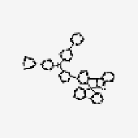 c1ccc(-c2ccc(N(c3ccc(-c4ccccc4)cc3)c3cccc(-c4ccc5c(c4)C4(c6ccccc6-c6ccccc64)c4oc6ccccc6c4-5)c3)cc2)cc1